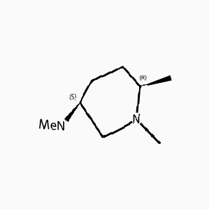 CN[C@H]1CC[C@@H](C)N(C)C1